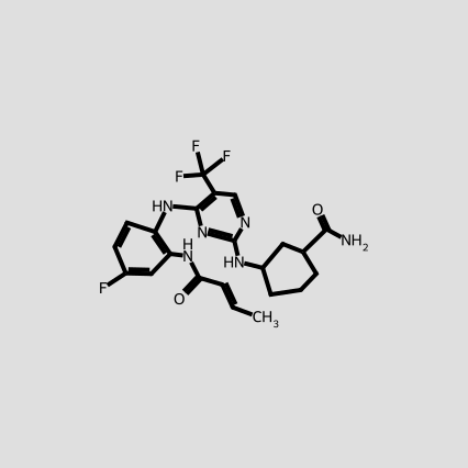 CC=CC(=O)Nc1cc(F)ccc1Nc1nc(NC2CCCC(C(N)=O)C2)ncc1C(F)(F)F